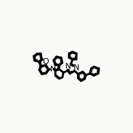 C1=Cc2c(c3ccccc3n2-c2cccc3c2oc2ccccc23)C(c2cc(-c3cccc(-c4ccccc4)c3)nc(-c3ccccc3)n2)C1